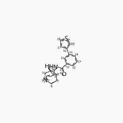 O=C(N[C@H]1CN2CCC1CC2)c1cccc(-c2ccsc2)c1